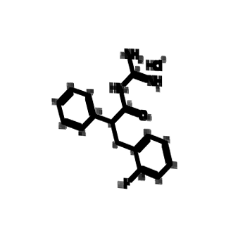 Cl.N=C(N)NC(=O)C(Cc1ccccc1F)c1ccccc1